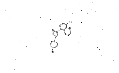 Oc1ccc(-n2cc(-c3ccc(Br)cc3)nn2)c2cccnc12